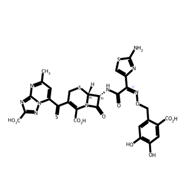 Cc1cc(C(=S)C2=C(C(=O)O)N3C(=O)[C@@H](NC(=O)/C(=N\OCc4cc(O)c(O)cc4C(=O)O)c4csc(N)n4)[C@H]3SC2)n2nc(C(=O)O)nc2n1